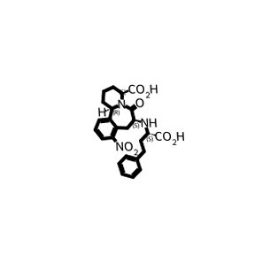 O=C(O)[C@H](CCc1ccccc1)N[C@H]1Cc2c(cccc2[N+](=O)[O-])[C@H]2CCC[C@@H](C(=O)O)N2C1=O